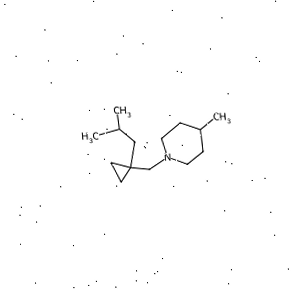 CC(C)CC1(CN2CCC(C)CC2)CC1